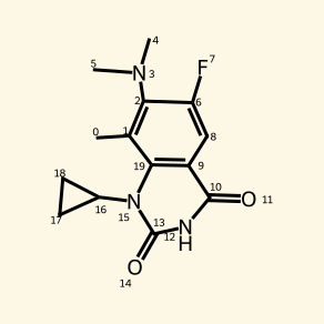 Cc1c(N(C)C)c(F)cc2c(=O)[nH]c(=O)n(C3CC3)c12